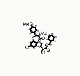 CCN(CCN1C(=O)C(OC(C)=O)C(c2ccc(OC)cc2)Sc2cc(Cl)ccc21)C(=O)OCc1ccccc1